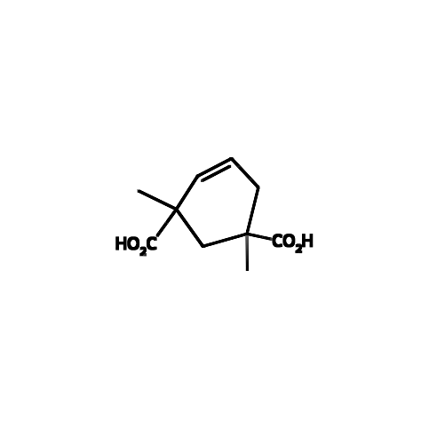 CC1(C(=O)O)C=CCC(C)(C(=O)O)C1